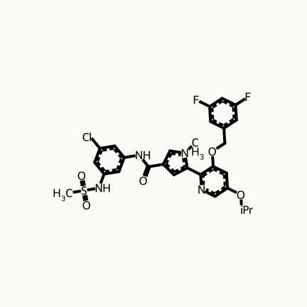 CC(C)Oc1cnc(-c2cc(C(=O)Nc3cc(Cl)cc(NS(C)(=O)=O)c3)cn2C)c(OCc2cc(F)cc(F)c2)c1